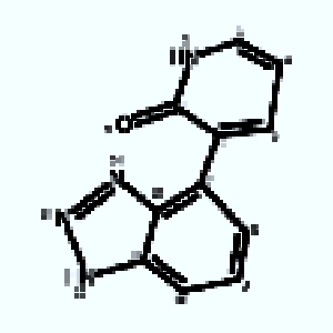 O=c1[nH]cccc1-c1cccc2[nH]nnc12